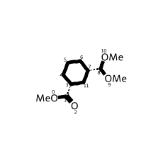 COC(=O)[C@@H]1CCC[C@H](C(OC)OC)C1